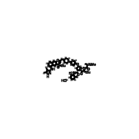 CN[C@@H](C)C(=O)N[C@H](C(=O)N1C[C@@H](Oc2cnc(N3CCN(CCOc4cc5ncnc(Nc6n[nH]c(C)c6C)c5cc4S(=O)(=O)C(C)(C)C)CC3)nc2)C[C@H]1C(=O)Nc1c(F)cccc1F)C(C)(C)C.Cl